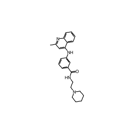 Cc1cc(Nc2cccc(C(=O)NCCN3CCCCC3)c2)c2ccccc2n1